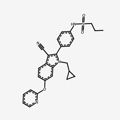 CCCS(=O)(=O)Nc1ccc(-c2c(C#N)c3ccc(Oc4ccccn4)cc3n2CC2CC2)cc1